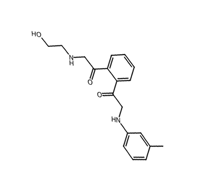 Cc1cccc(NCC(=O)c2ccccc2C(=O)CNCCO)c1